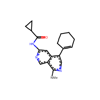 CNc1ncc(C2=CCCCC2)c2cc(NC(=O)C3CC3)ncc12